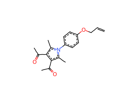 C=CCOc1ccc(-n2c(C)c(C(C)=O)c(C(C)=O)c2C)cc1